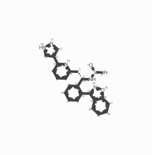 CC(C)[S+]([O-])N[C@@H](Cc1cccc(-c2cn[nH]c2)n1)c1ccccc1-c1noc2ccccc12